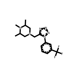 CC1CN(Cc2nnnn2-c2cccc(C(F)(F)F)c2)CC(C)N1C